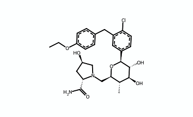 CCOc1ccc(Cc2cc([C@@H]3O[C@H](CN4C[C@H](O)C[C@H]4C(N)=O)[C@@H](C)[C@H](O)[C@H]3O)ccc2Cl)cc1